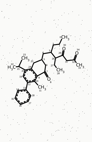 CCCC(CC1CC(=O)c2c(C)c(-c3ccccc3)cc(C(C)C)c2C1)C(CC)C(=O)CC(C)=O